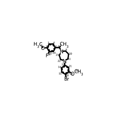 COc1ccc(C(C)N2CCCN(c3ccc(Br)c(OC)c3)CC2)cc1F